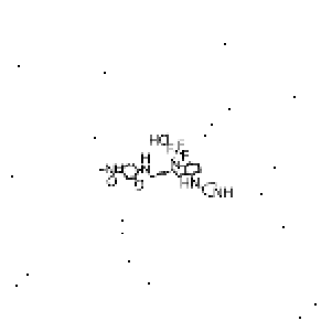 CNC(=O)c1ccc(NCC#Cc2cc3c(NC4CCNCC4)cccc3n2CC(F)(F)F)c(OC)c1.Cl